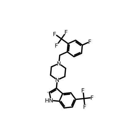 Fc1ccc(CN2CCN(c3[c][nH]c4ccc(C(F)(F)F)cc34)CC2)c(C(F)(F)F)c1